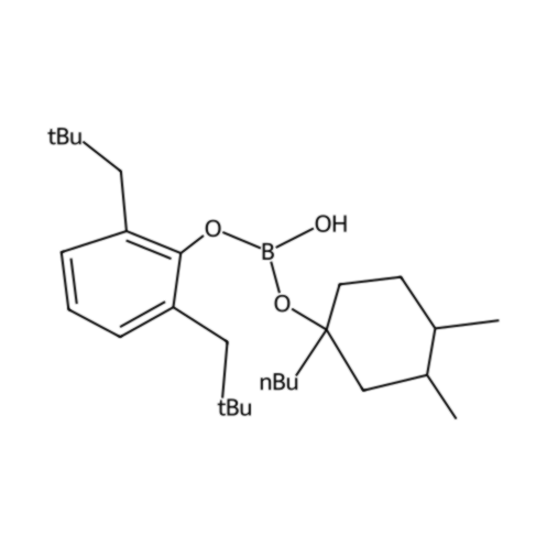 CCCCC1(OB(O)Oc2c(CC(C)(C)C)cccc2CC(C)(C)C)CCC(C)C(C)C1